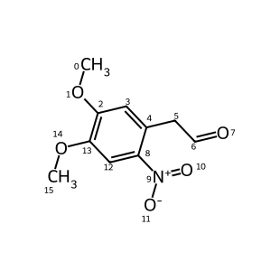 COc1cc(CC=O)c([N+](=O)[O-])cc1OC